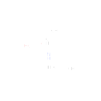 CC(C)c1cccc(C(C)C)c1NC(=O)CO